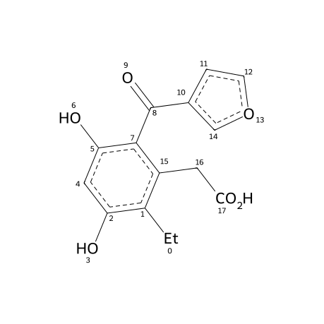 CCc1c(O)cc(O)c(C(=O)c2ccoc2)c1CC(=O)O